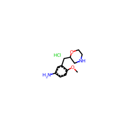 COc1ccc(N)cc1CC1CNCCO1.Cl